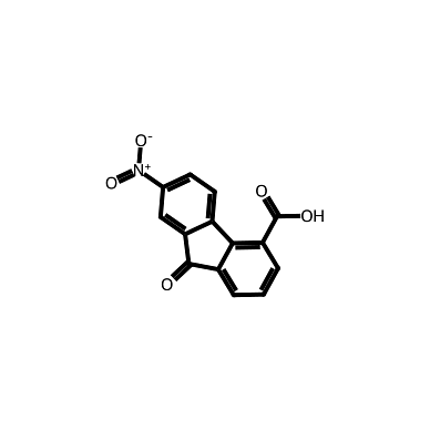 O=C(O)c1cccc2c1-c1ccc([N+](=O)[O-])cc1C2=O